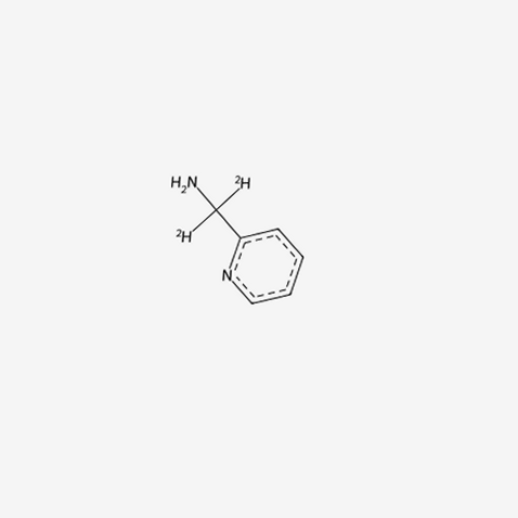 [2H]C([2H])(N)c1ccccn1